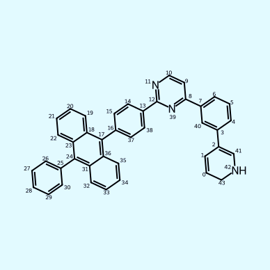 C1=CC(c2cccc(-c3ccnc(-c4ccc(-c5c6ccccc6c(-c6ccccc6)c6ccccc56)cc4)n3)c2)=CNC1